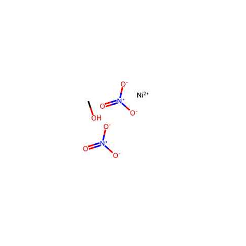 CO.O=[N+]([O-])[O-].O=[N+]([O-])[O-].[Ni+2]